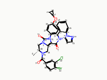 C[C@@H]1Cn2c(c(C(=O)NCc3ccccc3-n3cccn3)n(-c3ccc(OC4CC4)cc3)c2=O)CN1C(=O)c1ccc(Br)c(Cl)c1